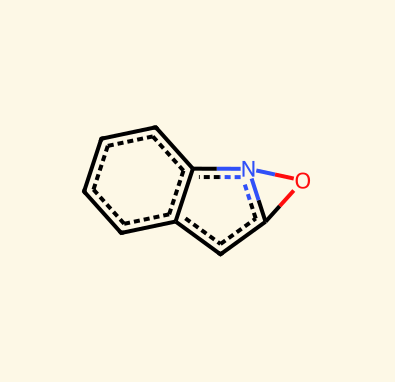 c1ccc2c(c1)cc1n2O1